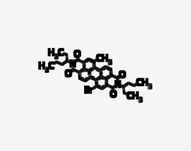 CCCC(CC)N1C(=O)c2ccc3c4c(Br)cc5c6c(ccc(c7c(C)cc(c2c37)C1=O)c64)C(=O)N(C(CC)CCC)C5=O